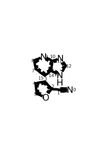 N#Cc1ccco1.c1cnc2nc[nH]c2c1